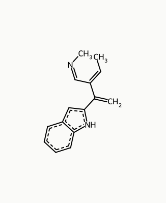 C=C(C(/C=N\C)=C/C)c1cc2ccccc2[nH]1